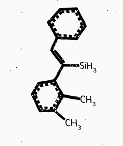 Cc1cccc(C([SiH3])=Cc2ccccc2)c1C